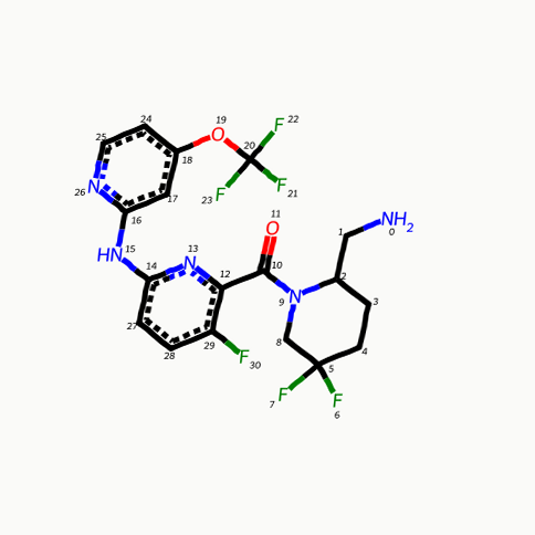 NCC1CCC(F)(F)CN1C(=O)c1nc(Nc2cc(OC(F)(F)F)ccn2)ccc1F